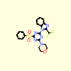 O=S(=O)(c1ccccc1)c1nc(N2CCOCC2)nc(-n2c(C(F)F)nc3ccccc32)n1